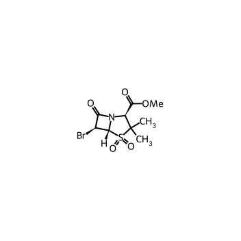 [CH2]OC(=O)[C@@H]1N2C(=O)[C@H](Br)[C@H]2S(=O)(=O)C1(C)C